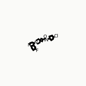 O=C(Nc1ccc(Cl)cc1)C1CC2(CCN(c3ccnc4ccc(F)cc34)CC2)C1